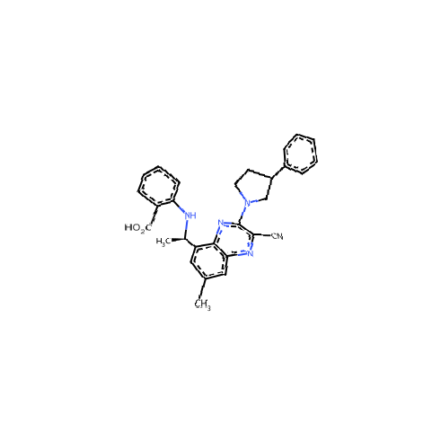 Cc1cc([C@@H](C)Nc2ccccc2C(=O)O)c2nc(N3CCC(c4ccccc4)C3)c(C#N)nc2c1